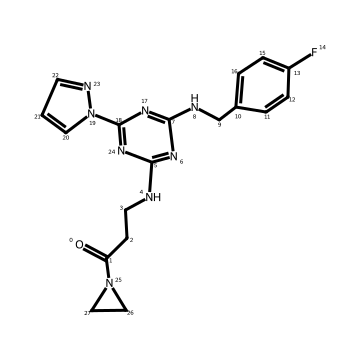 O=C(CCNc1nc(NCc2ccc(F)cc2)nc(-n2cccn2)n1)N1CC1